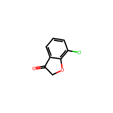 O=C1COc2c(Cl)cccc21